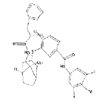 N[C@@H](Cc1ccccc1)C(=O)NC[C@@]1(O)C2CC[C@H]1C[C@H](Sc1cc(C(=O)Nc3cc(F)c(F)c(F)c3)ccc1Cl)C2